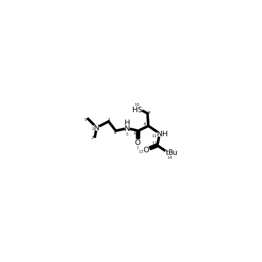 CN(C)CCNC(=O)C(CS)NC(=O)C(C)(C)C